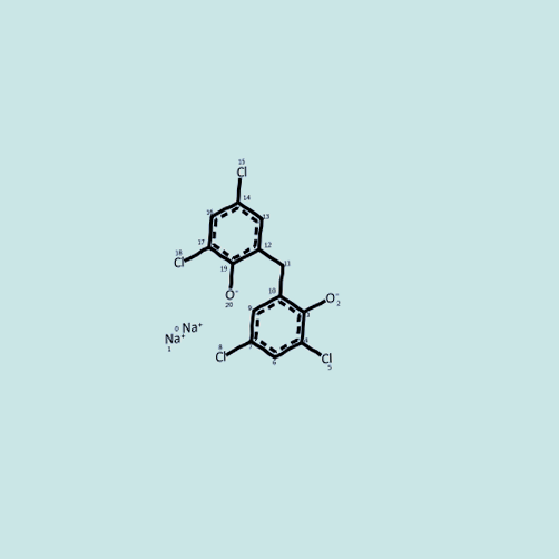 [Na+].[Na+].[O-]c1c(Cl)cc(Cl)cc1Cc1cc(Cl)cc(Cl)c1[O-]